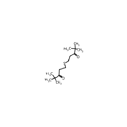 CC(C)(C)C(=O)CCSCCC(=O)C(C)(C)C